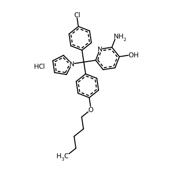 CCCCCOc1ccc(C(c2ccc(Cl)cc2)(c2ccc(O)c(N)n2)n2cccc2)cc1.Cl